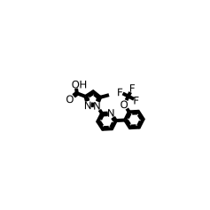 Cc1cc(C(=O)O)nn1-c1cccc(-c2ccccc2OC(F)(F)F)n1